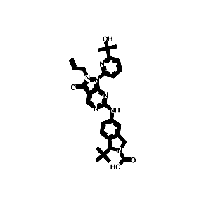 C=CCn1c(=O)c2cnc(Nc3ccc4c(c3)CN(C(=O)O)C4C(C)(C)C)nc2n1-c1cccc(C(C)(C)O)n1